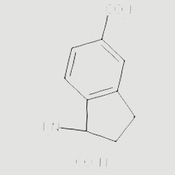 N[C@]1(C(=O)O)CCc2cc(C(=O)O)ccc21